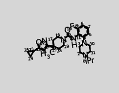 CC(C)N1CCN(c2cccc(F)c2NC(=O)N2CCC(C)(c3cc(C4CC4)on3)CC2)CC1